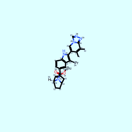 Cc1c(-c2[nH]c3ccc(C4=C[C@@H]5CCC(C4)N5C(=O)OC(C)(C)C)cc3c2C(C)C)cn2cnnc2c1C